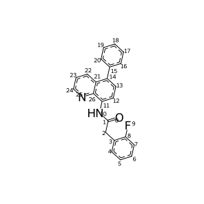 O=C(Cc1ccccc1F)Nc1ccc(-c2ccccc2)c2cccnc12